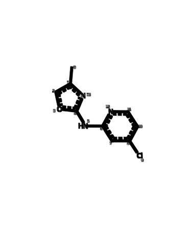 Cc1coc(Nc2cc(Cl)ccn2)n1